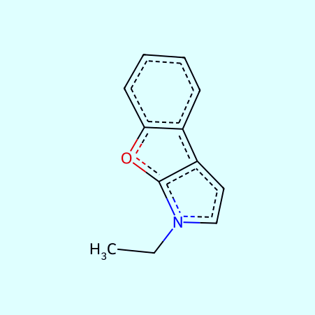 CCn1ccc2c3ccccc3oc21